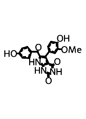 COc1cc(-c2c(C(=O)c3ccc(O)cc3)[nH]c3[nH]c(=O)[nH]c(=O)c23)ccc1O